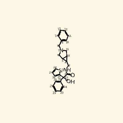 O=C(NCC1C2CN(Cc3ccccc3)CC12)C(O)(c1ccccc1)c1cccs1